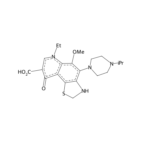 CCn1cc(C(=O)O)c(=O)c2c3c(c(N4CCN(C(C)C)CC4)c(OC)c21)NCS3